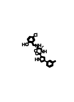 Cc1cccc([C@H]2CN[C@@H](C(=O)N[C@@H](C)C(=O)NCc3cc(Cl)ccc3O)C2)c1